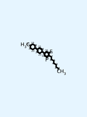 CCCCCCCCc1c(F)cc(C2C=CC(C3CCC(C)CC3)=CC2)cc1F